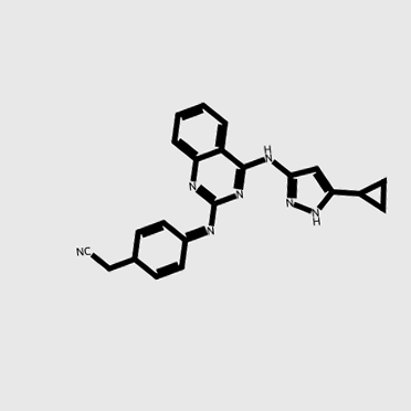 N#CCC1C=CC(=Nc2nc(Nc3cc(C4CC4)[nH]n3)c3ccccc3n2)C=C1